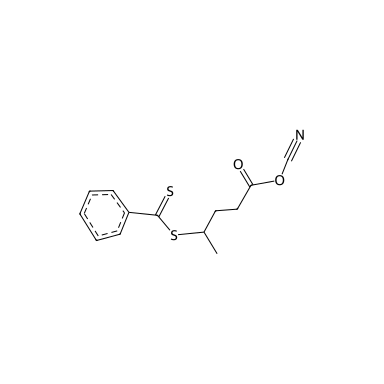 CC(CCC(=O)OC#N)SC(=S)c1ccccc1